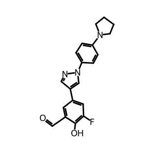 O=Cc1cc(-c2cnn(-c3ccc(N4CCCC4)cc3)c2)cc(F)c1O